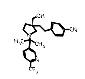 CC(C)(c1ccc(C(F)(F)F)nc1)N1CC[C@](CO)(CCc2ccc(C#N)cc2)C1